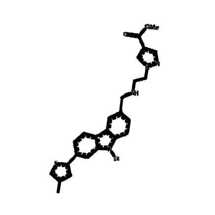 CCn1c2ccc(CNCCn3cc(C(=O)OC)cn3)cc2c2ccc(-c3cc(C)cs3)cc21